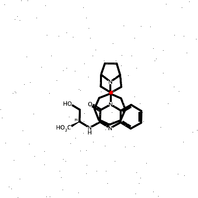 O=C(O)[C@@H](CO)Nc1nc2ccccc2n(C2CC3CCC(C2)N3C2CCCCCCC2)c1=O